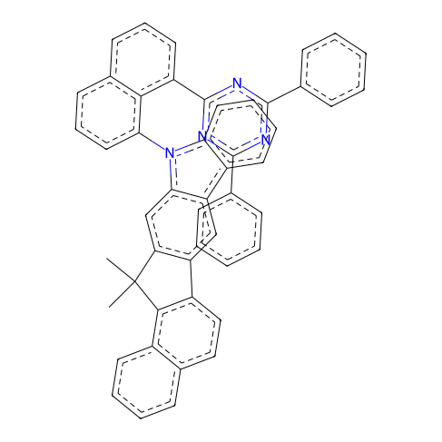 CC1(C)c2cc3c(cc2-c2ccc4ccccc4c21)c1ccccc1n3-c1cccc2cccc(-c3nc(-c4ccccc4)nc(-c4ccccc4)n3)c12